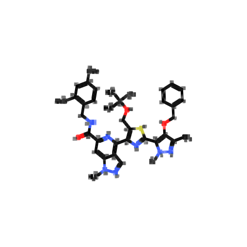 CCn1nc(C)c(OCc2ccccc2)c1-c1nc(-c2nc(C(=O)NCc3ccc(OC)cc3OC)cc3c2cnn3C)c(CO[Si](C)(C)C(C)(C)C)s1